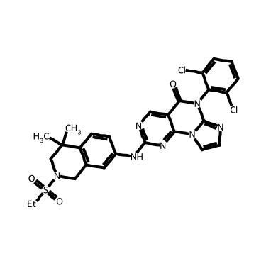 CCS(=O)(=O)N1Cc2cc(Nc3ncc4c(=O)n(-c5c(Cl)cccc5Cl)c5nccn5c4n3)ccc2C(C)(C)C1